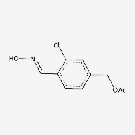 CC(=O)OCc1ccc(C=NO)c(Cl)c1